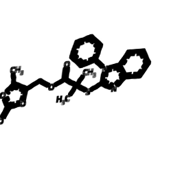 Cc1oc(=O)oc1COC(=O)C(C)(C)Sc1nc2ccccc2n1-c1ccccc1